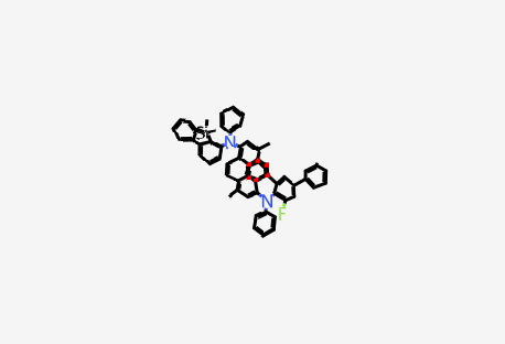 Cc1cc(N(c2ccccc2)c2cccc3c2[Si](C)(C)c2ccccc2-3)c2ccc3c(C)cc(N(c4ccccc4)c4c(F)cc(-c5ccccc5)cc4-c4ccccc4)c4ccc1c2c34